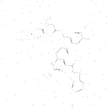 CN(CC(=O)OCc1cc(F)c(F)cc1-c1ccc2nc(N)nc(C(=O)N3Cc4ccccc4C3)c2c1)C(=O)OC(C)(C)C